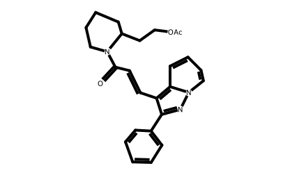 CC(=O)OCCC1CCCCN1C(=O)C=Cc1c(-c2ccccc2)nn2ccccc12